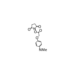 CNc1ccc(OCC(=O)ON2C(=O)CCC2=O)cc1